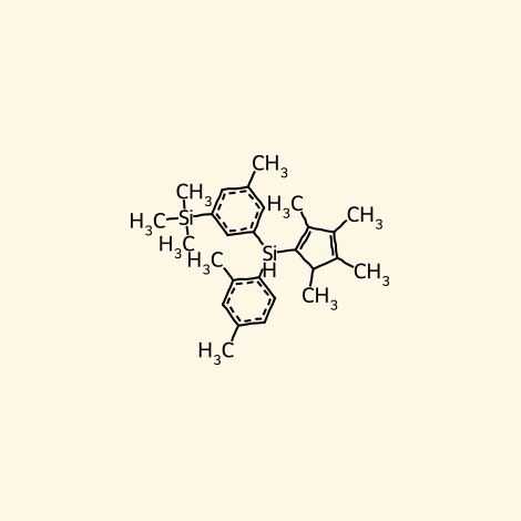 CC1=C(C)C(C)C([SiH](c2cc(C)cc([Si](C)(C)C)c2)c2ccc(C)cc2C)=C1C